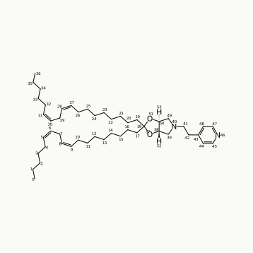 CCCCC/C=C\C/C=C\CCCCCCCCC1(CCCCCCCC/C=C\C/C=C\CCCCC)O[C@H]2CN(CCc3ccncc3)C[C@@H]2O1